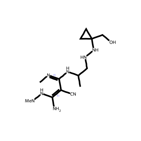 C/N=C(NC(C)CNNC1(CO)CC1)\C(C#N)=C(\N)NNC